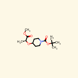 COC(=O)[C@H](C)OC1CCN(C(=O)OC(C)(C)C)CC1